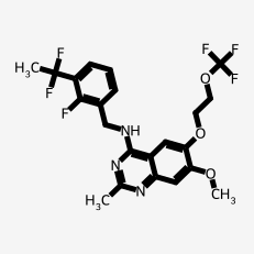 COc1cc2nc(C)nc(NCc3cccc(C(C)(F)F)c3F)c2cc1OCCOC(F)(F)F